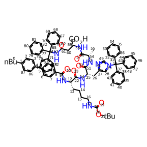 CCCCc1ccc(-c2ccc(C(=O)N[C@@H](CCCCNC(=O)OC(C)(C)C)C(=O)N[C@@H](Cc3cn(C(c4ccccc4)(c4ccccc4)c4ccccc4)cn3)C(=O)N[C@@H](C)C(=O)N[C@@H](CC(=O)NC(c3ccccc3)(c3ccccc3)c3ccccc3)C(=O)O)cc2)cc1